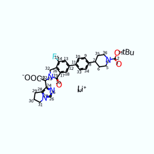 CC(C)(C)OC(=O)N1CCC(c2ccc(-c3cc(F)c4c(c3)C(=O)N(C(C(=O)[O-])c3ncn5c3CCC5)C4)cc2)CC1.[Li+]